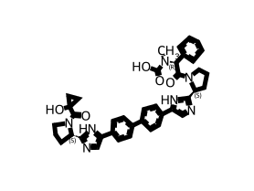 CN(C(=O)O)[C@@H](C(=O)N1CCC[C@H]1c1ncc(-c2ccc(-c3ccc(-c4cnc([C@@H]5CCCN5C(=O)C5(O)CC5)[nH]4)cc3)cc2)[nH]1)c1ccccc1